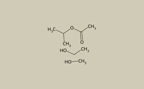 CC(=O)OC(C)C.CCO.CO